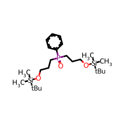 CC(C)(C)[Si](C)(C)OCCCP(=O)(CCCO[Si](C)(C)C(C)(C)C)c1ccccc1